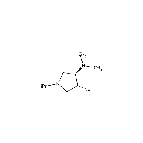 CC(C)N1C[C@@H](F)[C@H](N(C)C)C1